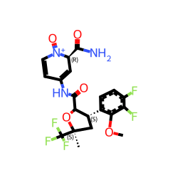 COc1c([C@@H]2C[C@@](C)(C(F)(F)F)OC2C(=O)NC2=C[C@H](C(N)=O)[N+](=O)C=C2)ccc(F)c1F